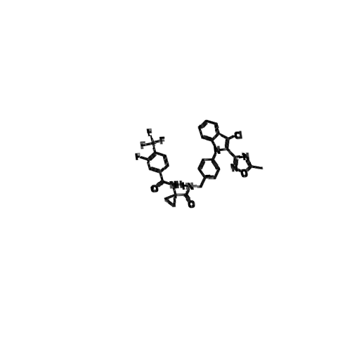 Cc1nc(-c2c(Cl)c3ccccc3n2-c2ccc(CNC(=O)C3(NC(=O)c4ccc(C(F)(F)F)c(F)c4)CC3)cc2)no1